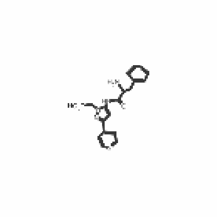 NC(Cc1ccccc1)C(=O)Nc1cc(-c2ccncc2)nn1CC(=O)O